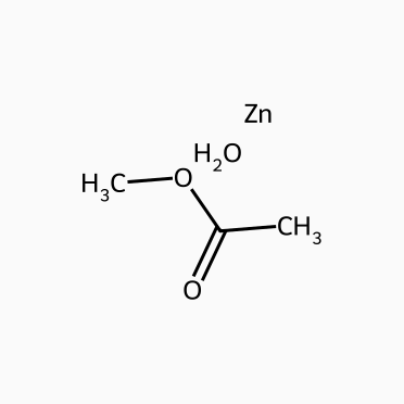 COC(C)=O.O.[Zn]